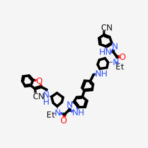 CCN(C(=O)c1nc2cc(C#N)ccc2[nH]1)[C@H]1CCC[C@@H](NCc2ccc(-c3ccc4[nH]c(C(=O)N(CC)[C@H]5CCC[C@@H](NCc6oc7ccccc7c6C#N)C5)nc4c3)cc2)C1